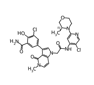 C[C@H]1COCCN1c1cc(NC(=O)Cn2cc(-c3cc(Cl)c(O)c(C(N)=O)c3)c3c(=O)n(C)ccc32)c(Cl)cn1